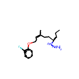 CC/C=C(\CC/C(C)=C\COc1ccccc1F)NN